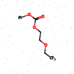 CC(C)OC(=O)OCCOCC(F)(F)F